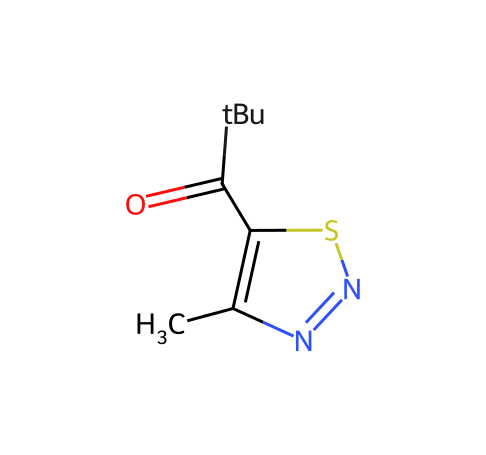 Cc1nnsc1C(=O)C(C)(C)C